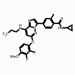 COc1ccc(Oc2cc(NCCC(F)(F)F)c3ncc(-c4ccc(C(=O)NC5CC5)c(C)c4)n3n2)c(F)c1F